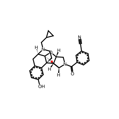 N#Cc1cccc(C(=O)N2C[C@H]3O[C@@]45CC[C@@H]2[C@@H]3[C@@]42CCN(CC3CC3)[C@@H]5Cc3ccc(O)cc32)c1